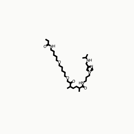 CCC(=O)NCCCCCOCCCCCOCC(=O)C(C)CCC(C)C(=O)NCCCn1cnc(CNC(C)C)c1